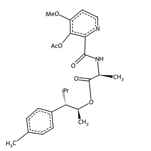 COc1ccnc(C(=O)N[C@@H](C)C(=O)O[C@@H](C)[C@H](c2ccc(C)cc2)C(C)C)c1OC(C)=O